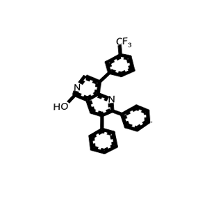 Oc1ncc(-c2cccc(C(F)(F)F)c2)c2nc(-c3cc[c]cc3)c(-c3ccccc3)cc12